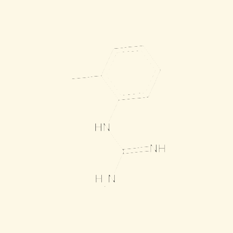 [CH2]c1ccccc1NC(=N)N